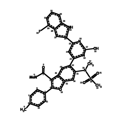 CNC(=O)c1c(-c2ccc(C)cc2)oc2cc(N(C)S(C)(=O)=O)c(-c3cc(-c4cc5c(F)cccc5[nH]4)nc(O)n3)cc12